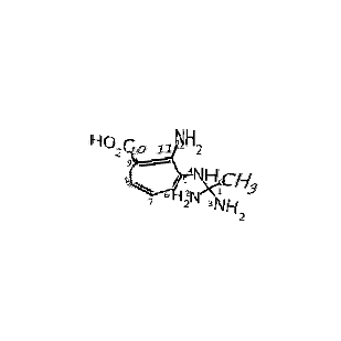 CC(N)(N)Nc1cccc(C(=O)O)c1N